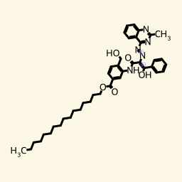 CCCCCCCCCCCCCCCCOC(=O)c1ccc(CO)c(NC(=O)C(/N=N/c2nc(C)nc3ccccc23)=C(\O)c2ccccc2)c1